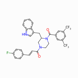 O=C(C=Cc1ccc(F)cc1)N1CCN(C(=O)c2cc(C(F)(F)F)cc(C(F)(F)F)c2)C(Cc2c[nH]c3ccccc23)C1